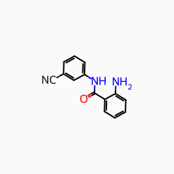 N#Cc1cccc(NC(=O)c2ccccc2N)c1